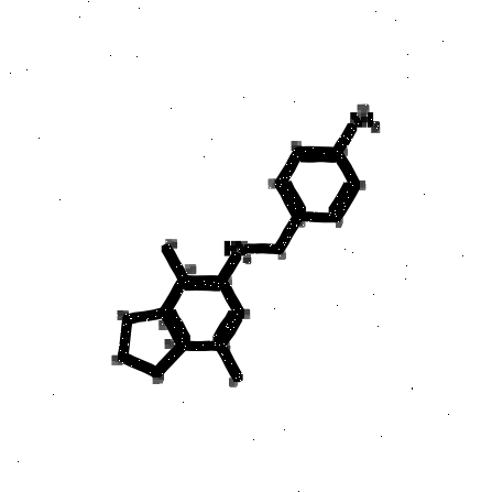 Cc1cc(NCc2ccc(N)cc2)c(C)c2c1CCC2